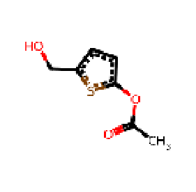 CC(=O)Oc1ccc(CO)s1